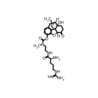 CN(CCNC(=O)[C@@H](N)CCCNC(=N)N)C(=O)Oc1ccc2c3c1O[C@H]1C(=O)CC[C@@]4(O)[C@@H](C2)N(C)CC[C@]314